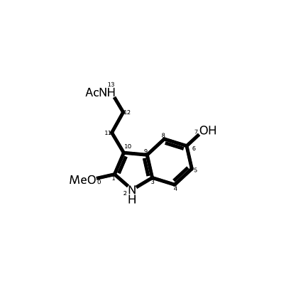 COc1[nH]c2ccc(O)cc2c1CCNC(C)=O